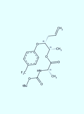 C=CC[C@@H](Oc1ccc(C(F)(F)F)cc1)[C@H](C)OC(=O)[C@H](C)NC(=O)OC(C)(C)C